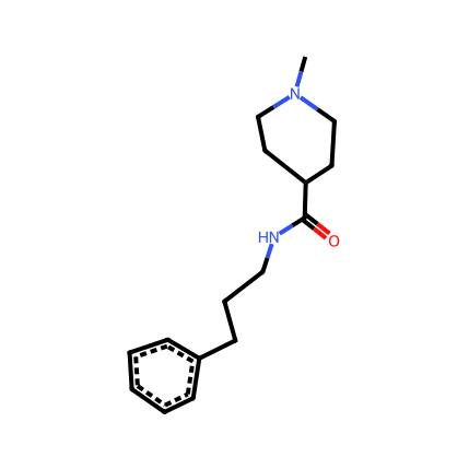 CN1CCC(C(=O)NCCCc2ccccc2)CC1